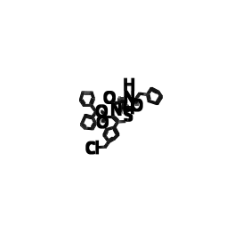 O=C(Cc1ccccc1)N[C@@H]1C(=O)N2C(C(=O)OC(c3ccccc3)c3ccccc3)=C(c3ccc(CCl)cc3)CS[C@H]12